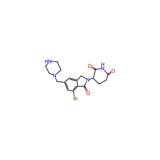 O=C1CCC(N2Cc3cc(CN4CCNCC4)cc(Br)c3C2=O)C(=O)N1